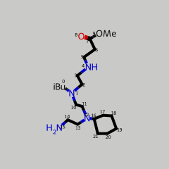 CCC(C)N(CCNCCC(=O)OC)CCN(CCN)C1CCCCC1